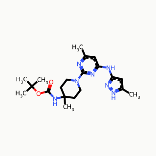 Cc1cc(Nc2cc(C)[nH]n2)nc(N2CCC(C)(NC(=O)OC(C)(C)C)CC2)n1